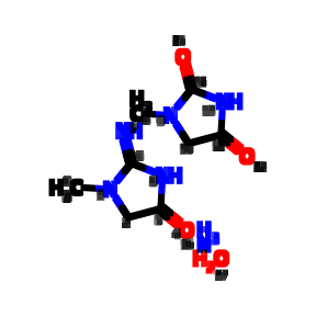 CN1CC(=O)NC1=N.CN1CC(=O)NC1=O.N.O